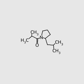 CC(C)CC1CCCN1C(=O)C(C)C